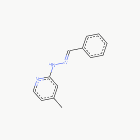 Cc1ccnc(NN=Cc2ccccc2)c1